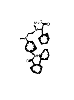 COC(=O)C(c1ccccc1)N(C)CCN(C)c1ccc(NC(=O)c2ccccc2-c2ccccc2)cc1